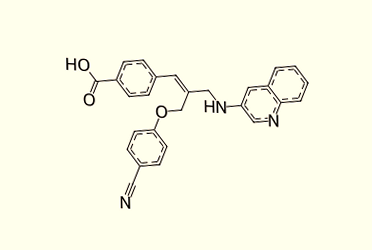 N#Cc1ccc(OCC(=Cc2ccc(C(=O)O)cc2)CNc2cnc3ccccc3c2)cc1